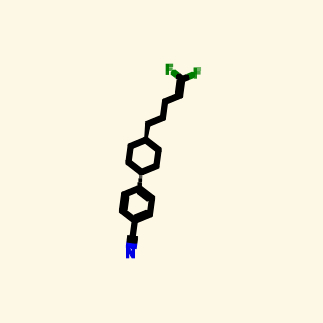 N#Cc1ccc([C@H]2CC[C@H](CCCC=C(F)F)CC2)cc1